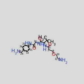 CC(C)C(NC(=O)CCOCCN)C(=O)NCC(=O)Nc1ccc(CN)cc1